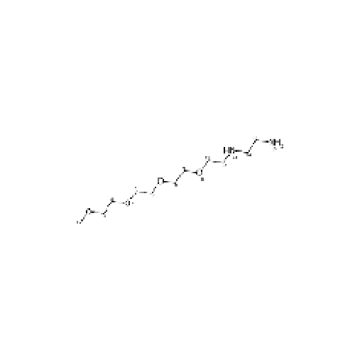 COCCOCCOCCOCCNCCN